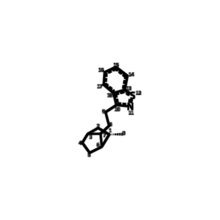 C[C@H]1CC2CCC1C2CCc1nsc2ccccc12